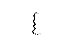 CCCCCCCCCCCCC[CH]C(C)CC